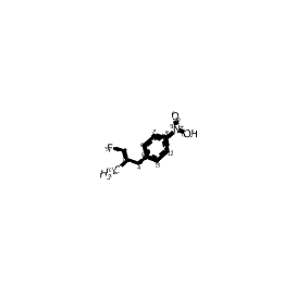 CC(CF)Cc1ccc([N+](=O)O)cc1